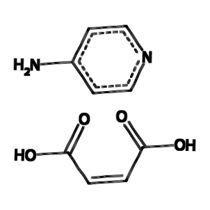 Nc1ccncc1.O=C(O)/C=C\C(=O)O